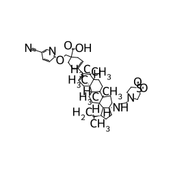 C=C(C)[C@@H]1CC[C@]2(NCCN3CCS(=O)(=O)CC3)CC[C@]3(C)[C@H](CC[C@@H]4[C@@]5(C)CC=C(C6=CCC(COc7ccc(C#N)cn7)(C(=O)O)CC6)C(C)(C)[C@@H]5CC[C@]43C)[C@@H]12